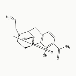 C=CCN1CC[C@]23CC(=O)CC[C@@]2(O)C1Cc1ccc(C(N)=O)c(O)c13